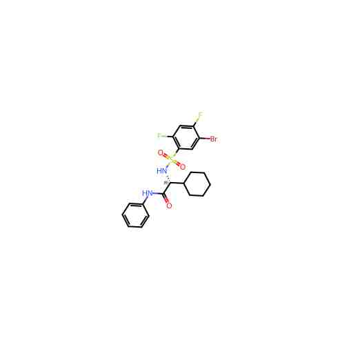 O=C(Nc1ccccc1)[C@H](NS(=O)(=O)c1cc(Br)c(F)cc1F)C1CCCCC1